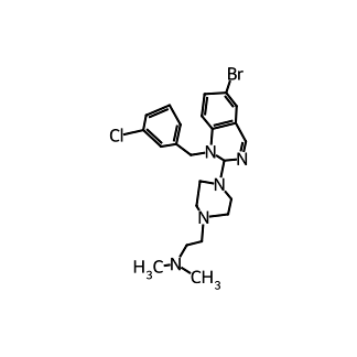 CN(C)CCN1CCN(C2N=Cc3cc(Br)ccc3N2Cc2cccc(Cl)c2)CC1